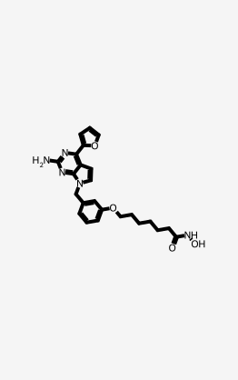 Nc1nc(-c2ccco2)c2ccn(Cc3cccc(OCCCCCCC(=O)NO)c3)c2n1